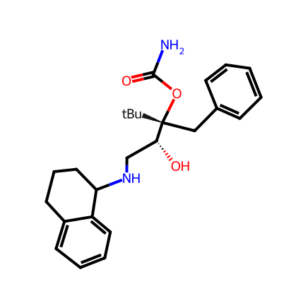 CC(C)(C)[C@](Cc1ccccc1)(OC(N)=O)[C@H](O)CNC1CCCc2ccccc21